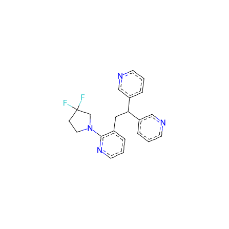 FC1(F)CCN(c2ncccc2CC(c2cccnc2)c2cccnc2)C1